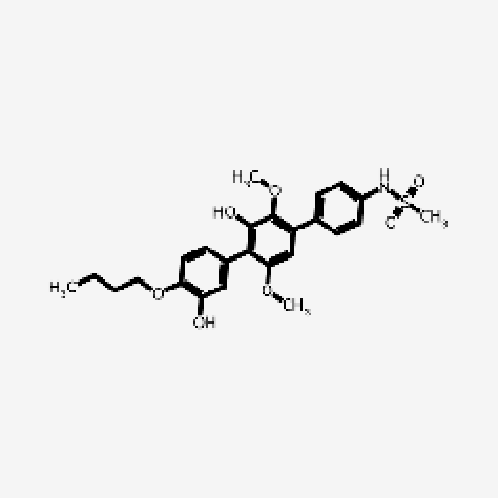 CCCCOc1ccc(-c2c(OC)cc(-c3ccc(NS(C)(=O)=O)cc3)c(OC)c2O)cc1O